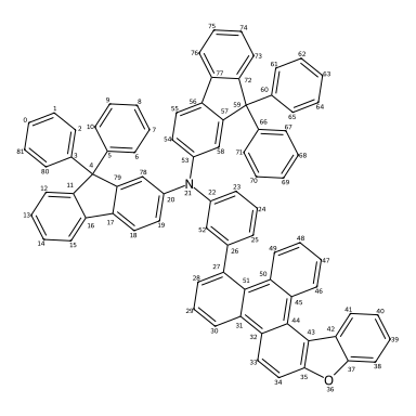 c1ccc(C2(c3ccccc3)c3ccccc3-c3ccc(N(c4cccc(-c5cccc6c7ccc8oc9ccccc9c8c7c7ccccc7c56)c4)c4ccc5c(c4)C(c4ccccc4)(c4ccccc4)c4ccccc4-5)cc32)cc1